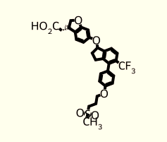 CS(=O)(=O)CCCOc1ccc(-c2c(C(F)(F)F)ccc3c2CCC3Oc2ccc3c(c2)OC[C@H]3CC(=O)O)cc1